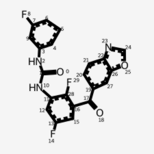 O=C(Nc1cccc(F)c1)Nc1cc(F)cc(C(=O)c2ccc3ncoc3c2)c1F